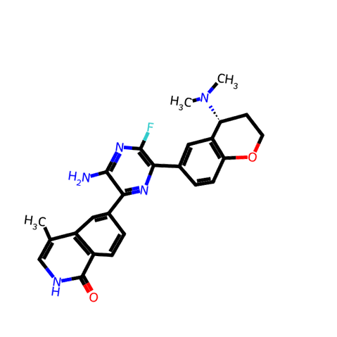 Cc1c[nH]c(=O)c2ccc(-c3nc(-c4ccc5c(c4)[C@H](N(C)C)CCO5)c(F)nc3N)cc12